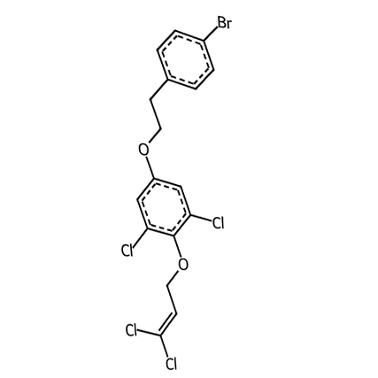 ClC(Cl)=CCOc1c(Cl)cc(OCCc2ccc(Br)cc2)cc1Cl